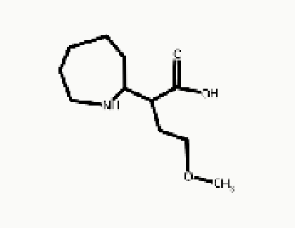 COCCC(C(=O)O)C1CCCCCN1